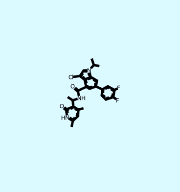 Cc1cc(C)c(C(C)NC(=O)c2cc(-c3ccc(F)c(F)c3)cc3c2c(Cl)cn3C(C)C)c(=O)[nH]1